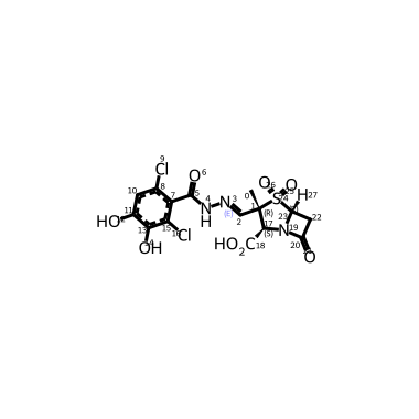 C[C@]1(/C=N/NC(=O)c2c(Cl)cc(O)c(O)c2Cl)[C@H](C(=O)O)N2C(=O)C[C@H]2S1(=O)=O